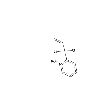 C=CC(Cl)(Cl)c1ccccn1.[Ru+2]